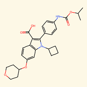 CC(C)OC(=O)Nc1ccc(-c2c(C(=O)O)c3ccc(OC4CCOCC4)cc3n2C2CCC2)cc1